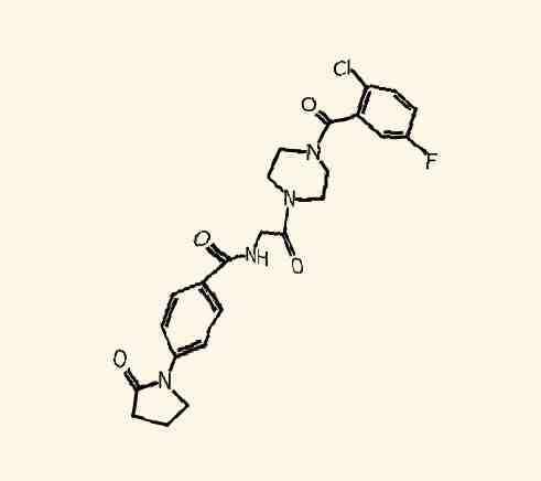 O=C(NCC(=O)N1CCN(C(=O)c2cc(F)ccc2Cl)CC1)c1ccc(N2CCCC2=O)cc1